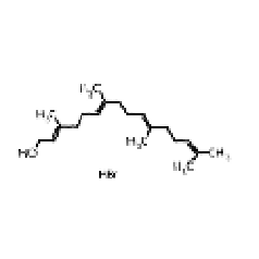 Br.CC(C)=CCC/C(C)=C/CCC(C)=CCC/C(C)=C/CO